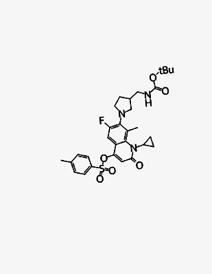 Cc1ccc(S(=O)(=O)Oc2cc(=O)n(C3CC3)c3c(C)c(N4CCC(CNC(=O)OC(C)(C)C)C4)c(F)cc23)cc1